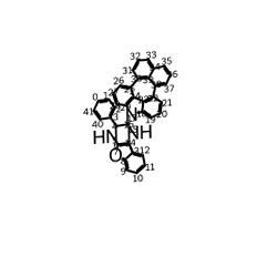 c1ccc(C2Nc3oc4ccccc4c3NC2n2c3cccc4c3c3c(cccc32)-c2cccc3cccc-4c23)cc1